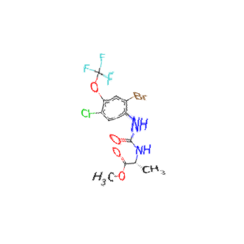 COC(=O)[C@@H](C)NC(=O)Nc1cc(Cl)c(OC(F)(F)F)cc1Br